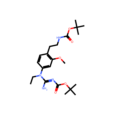 CCN(C(N)=NC(=O)OC(C)(C)C)c1ccc(CCNC(=O)OC(C)(C)C)c(OC)c1